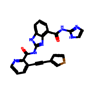 O=C(Nc1nc2c(C(=O)Nc3ncc[nH]3)cccc2[nH]1)c1ncccc1C#Cc1ccsc1